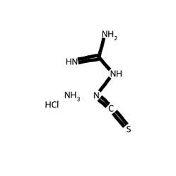 Cl.N.N=C(N)NN=C=S